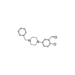 [O]c1ccc(N2CCN(Cc3ccccc3)CC2)cc1C=O